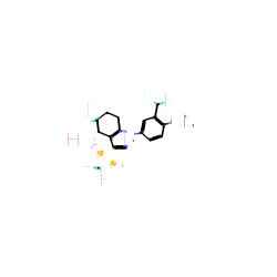 N#Cc1ccc(-n2cc(S(=O)(=O)C(F)F)c3c2CCC(F)(F)[C@H]3O)cc1C(F)F